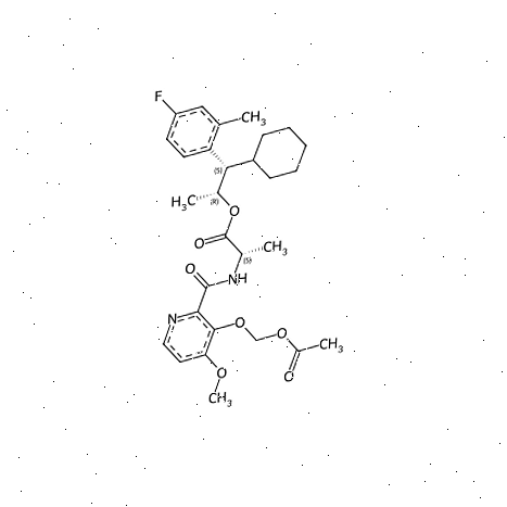 COc1ccnc(C(=O)N[C@@H](C)C(=O)O[C@H](C)[C@H](c2ccc(F)cc2C)C2CCCCC2)c1OCOC(C)=O